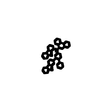 c1ccc(-c2ccc(N(c3cc4ccccc4c4ccccc34)c3cccc4c3sc3ccccc34)cc2-c2ccc3c(c2)sc2ccccc23)cc1